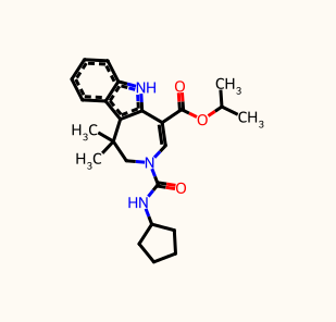 CC(C)OC(=O)C1=CN(C(=O)NC2CCCC2)CC(C)(C)c2c1[nH]c1ccccc21